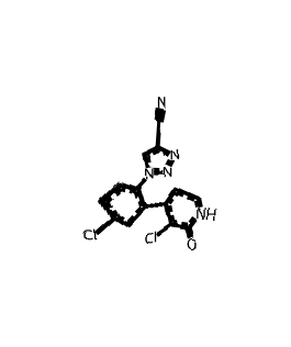 N#Cc1cn(-c2ccc(Cl)cc2-c2cc[nH]c(=O)c2Cl)nn1